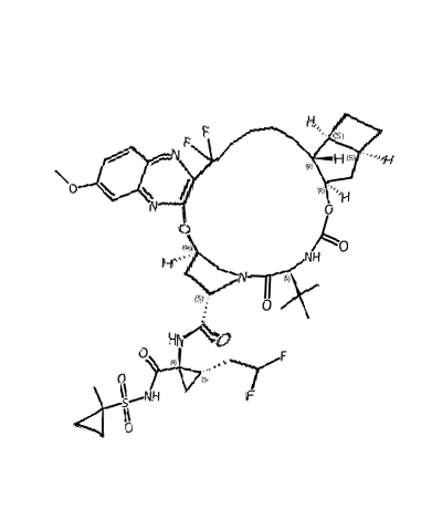 COc1ccc2nc3c(nc2c1)O[C@@H]1C[C@@H](C(=O)N[C@]2(C(=O)NS(=O)(=O)C4(C)CC4)C[C@H]2CC(F)F)N(C1)C(=O)[C@H](C(C)(C)C)NC(=O)O[C@@H]1C[C@@H]2CC[C@@H]2[C@H]1CCCCC3(F)F